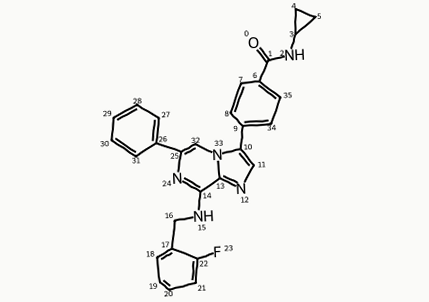 O=C(NC1CC1)c1ccc(-c2cnc3c(NCc4ccccc4F)nc(-c4ccccc4)cn23)cc1